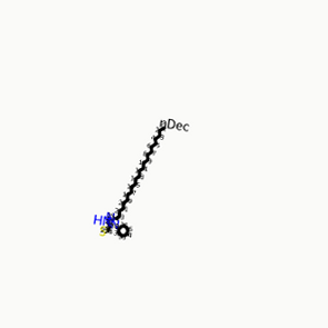 CCCCCCCCCCCCCCCCCCCCCCCCCCCCCCCCCC1=NNC(C=S)N1C1CCCCC1